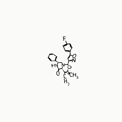 CSC(C)[C@H]1C(=O)N[C@@H](c2ccccc2)CN1C(=O)c1cc(-c2ccc(F)cc2)on1